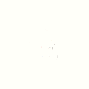 C[C@@H](OC1(c2cccs2)c2ccccc2-c2ccccc21)[C@H](N)C(=O)O